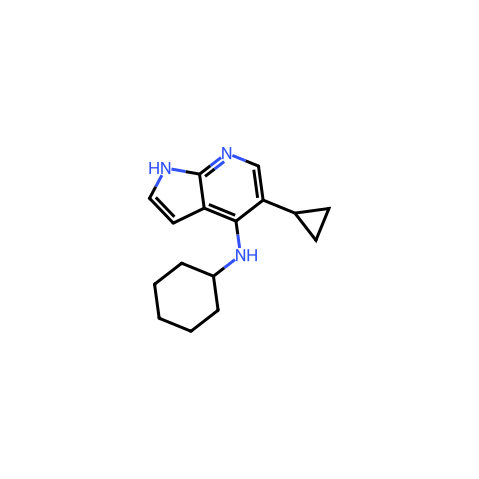 c1cc2c(NC3CCCCC3)c(C3CC3)cnc2[nH]1